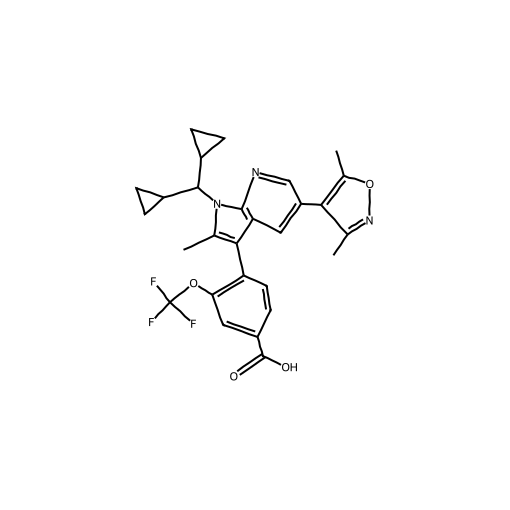 Cc1noc(C)c1-c1cnc2c(c1)c(-c1ccc(C(=O)O)cc1OC(F)(F)F)c(C)n2C(C1CC1)C1CC1